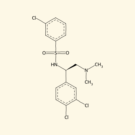 CN(C)C[C@H](NS(=O)(=O)c1cccc(Cl)c1)c1ccc(Cl)c(Cl)c1